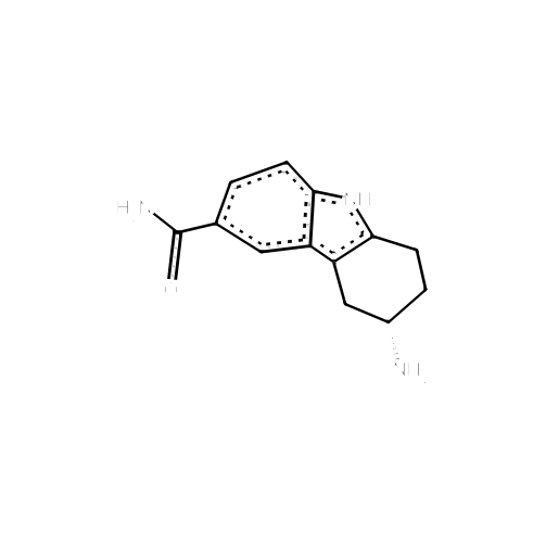 NC(=O)c1ccc2[nH]c3c(c2c1)C[C@@H](N)CC3